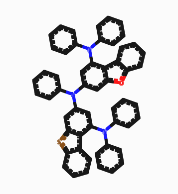 c1ccc(N(c2cc(N(c3ccccc3)c3ccccc3)c3c(c2)oc2ccccc23)c2cc(N(c3ccccc3)c3ccccc3)c3c(c2)sc2ccccc23)cc1